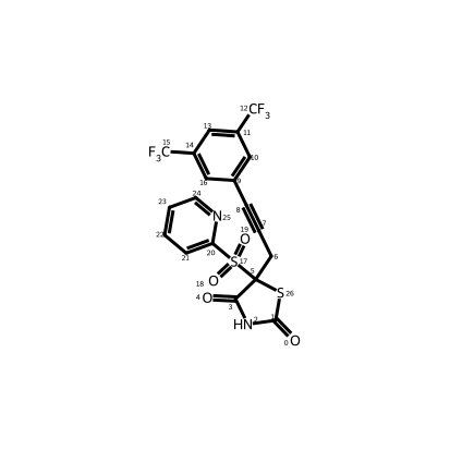 O=C1NC(=O)C(CC#Cc2cc(C(F)(F)F)cc(C(F)(F)F)c2)(S(=O)(=O)c2ccccn2)S1